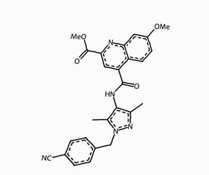 COC(=O)c1cc(C(=O)Nc2c(C)nn(Cc3ccc(C#N)cc3)c2C)c2ccc(OC)cc2n1